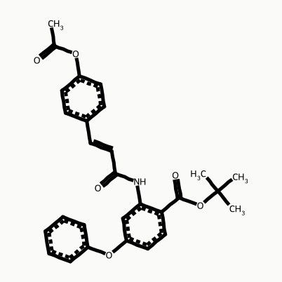 CC(=O)Oc1ccc(C=CC(=O)Nc2cc(Oc3ccccc3)ccc2C(=O)OC(C)(C)C)cc1